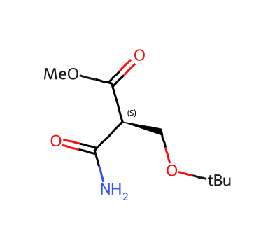 COC(=O)[C@@H](COC(C)(C)C)C(N)=O